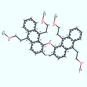 CCOCCc1c2ccccc2c(CCOCC)c2c(Oc3c(C)ccc4c(CCOCC)c5ccccc5c(CCOCC)c34)c(C)ccc12